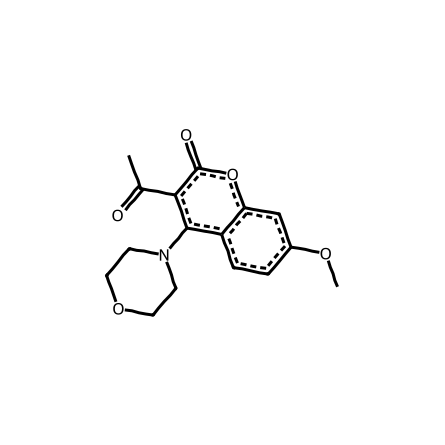 COc1ccc2c(N3CCOCC3)c(C(C)=O)c(=O)oc2c1